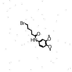 COc1ccc(NC(=O)CCCCBr)cc1OC